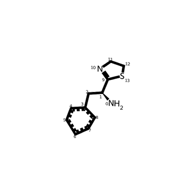 N[C@@H](Cc1ccccc1)C1=NCCS1